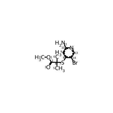 COC(=O)C(C)(C)Sc1cc(N)ncc1Br